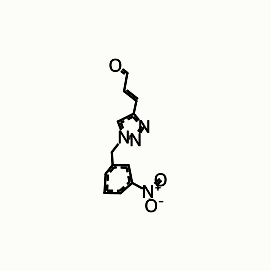 O=C/C=C/c1cn(Cc2cccc([N+](=O)[O-])c2)nn1